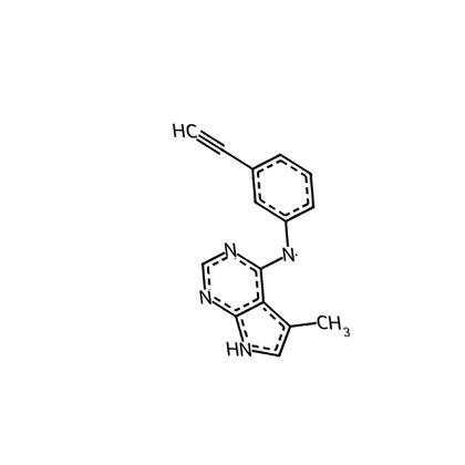 C#Cc1cccc([N]c2ncnc3[nH]cc(C)c23)c1